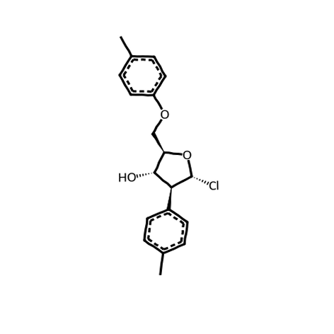 Cc1ccc(OC[C@H]2O[C@H](Cl)[C@@H](c3ccc(C)cc3)[C@@H]2O)cc1